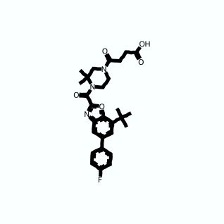 CC(C)(C)c1cc(-c2ccc(F)cc2)cc2nc(C(=O)N3CCN(C(=O)CCC(=O)O)CC3(C)C)oc12